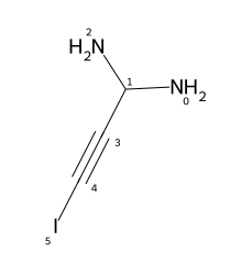 NC(N)C#CI